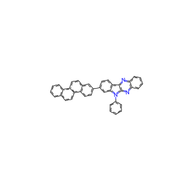 c1ccc(-n2c3cc(-c4ccc5c(ccc6c7ccccc7ccc56)c4)ccc3c3nc4ccccc4nc32)cc1